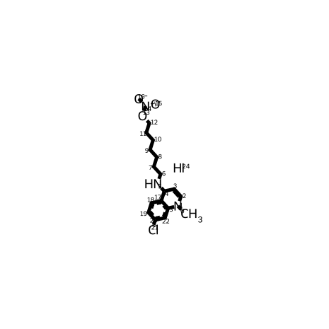 CN1C=CC(NCCCCCCCO[N+](=O)[O-])c2ccc(Cl)cc21.I